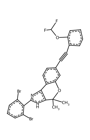 CC1(C)Oc2cc(C#Cc3ccccc3OC(F)F)ccc2-c2nc(-c3c(Br)cccc3Br)[nH]c21